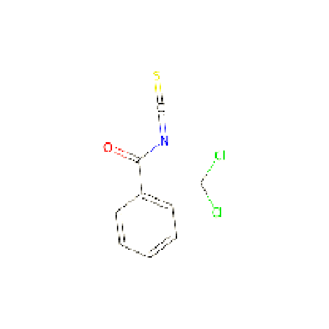 ClCCl.O=C(N=C=S)c1ccccc1